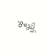 CNC(CF)C(=O)N[C@H](C(=O)N1CCC[C@H]1c1nc(-c2ccc(F)c3ccccc23)cs1)C1CCOCC1